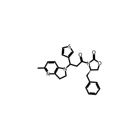 Cc1ccc2c(n1)CCN2C(CC(=O)N1C(=O)OC[C@H]1Cc1ccccc1)c1ccsc1